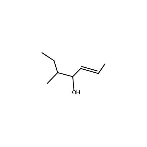 C/C=C/C(O)C(C)CC